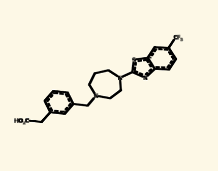 O=C(O)Cc1cccc(CN2CCCN(c3nc4ccc(C(F)(F)F)cc4s3)CC2)c1